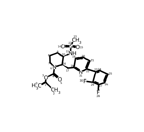 CC(C)OC(=O)N1CCC[C@@H](NS(C)(=O)=O)[C@H]1Cc1cccc(-c2cccc(F)c2F)n1